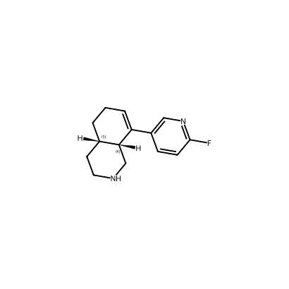 Fc1ccc(C2=CCC[C@H]3CCNC[C@@H]23)cn1